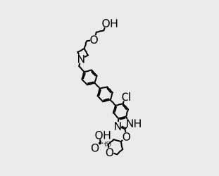 O=C(O)[C@@H]1CC(Oc2nc3cc(-c4ccc(-c5ccc(CN6CC(COCCO)C6)cc5)cc4)c(Cl)cc3[nH]2)CCO1